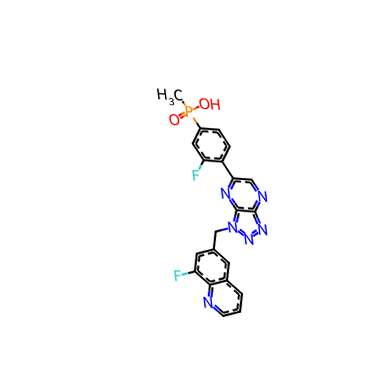 CP(=O)(O)c1ccc(-c2cnc3nnn(Cc4cc(F)c5ncccc5c4)c3n2)c(F)c1